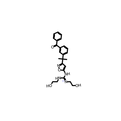 CC(C)(c1cccc(C(=O)c2ccccc2)c1)c1cc(N/C(=N\CCO)NCCO)on1